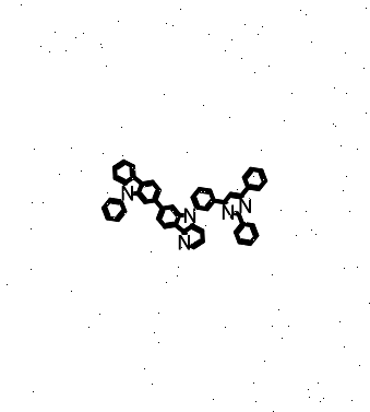 c1ccc(-c2cc(-c3cccc(-n4c5cc(-c6ccc7c8ccccc8n(-c8ccccc8)c7c6)ccc5c5ncccc54)c3)nc(-c3ccccc3)n2)cc1